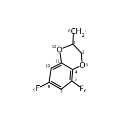 [CH2]C1COc2c(F)cc(F)cc2O1